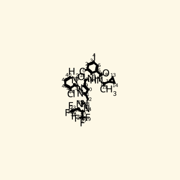 Cc1cc(I)cc(C(=O)NC(C)C2CC2)c1NC(=O)c1cc(Cn2nc(C(F)(F)F)c(C(F)(F)F)n2)nn1-c1ncccc1Cl